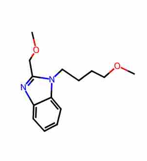 COCCCCn1c(COC)nc2ccccc21